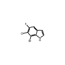 Fc1cc2cc[nH]c2c(Br)c1Cl